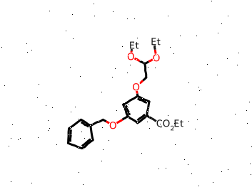 CCOC(=O)c1cc(OCc2ccccc2)cc(OCC(OCC)OCC)c1